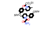 CCOC(=O)C(=O)N1C[C@@H](C)CC[C@@H]1c1cccc(OC)c1.COc1cccc([C@H]2CC[C@H](C)CN2C(=O)C(N)=O)c1